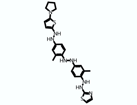 Cc1cc(NNc2ccc(N3CCCC3)s2)ccc1NNc1ccc(NNc2nccs2)c(C)c1